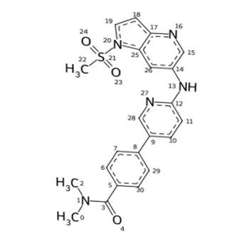 CN(C)C(=O)c1ccc(-c2ccc(Nc3cnc4ccn(S(C)(=O)=O)c4c3)nc2)cc1